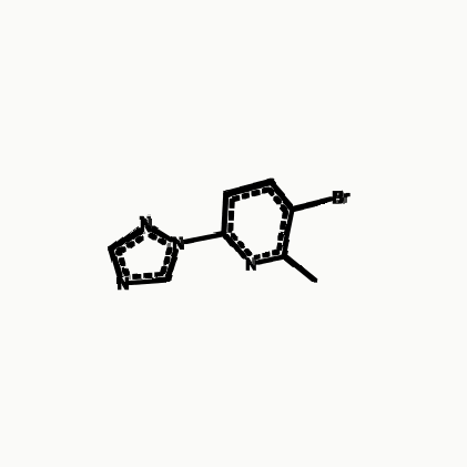 Cc1nc(-n2cncn2)ccc1Br